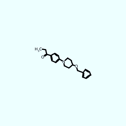 CCC(=O)c1ccc(N2CCC(OCc3ccccc3)CC2)cc1